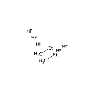 CCC.CCC.F.F.F.F.F